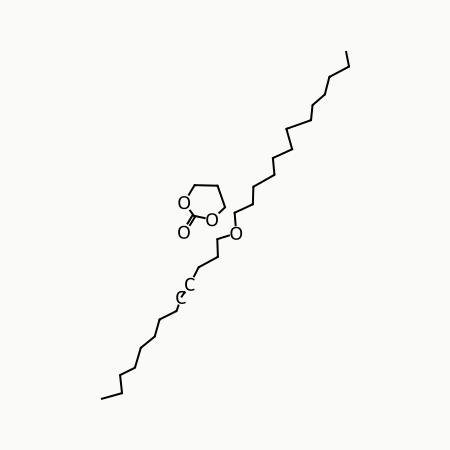 CCCCCCCCCCCCCOCCCCCCCCCCCCC.O=C1OCCCO1